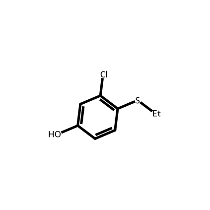 CCSc1ccc(O)cc1Cl